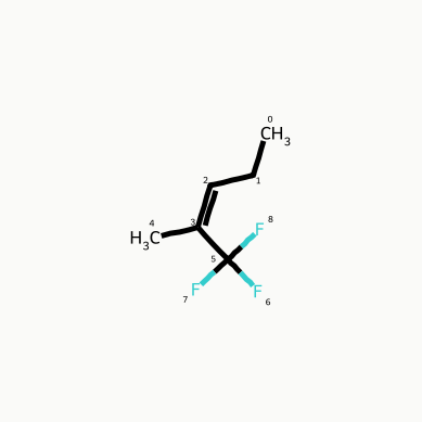 CCC=C(C)C(F)(F)F